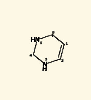 [CH]1C=CNCN1